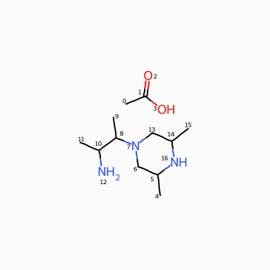 CC(=O)O.CC1CN(C(C)C(C)N)CC(C)N1